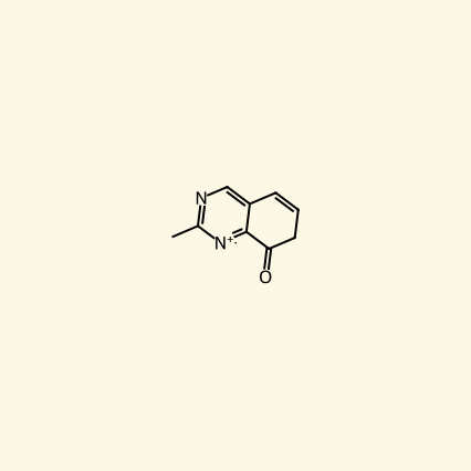 CC1=NC=C2C=CCC(=O)C2=[N+]1